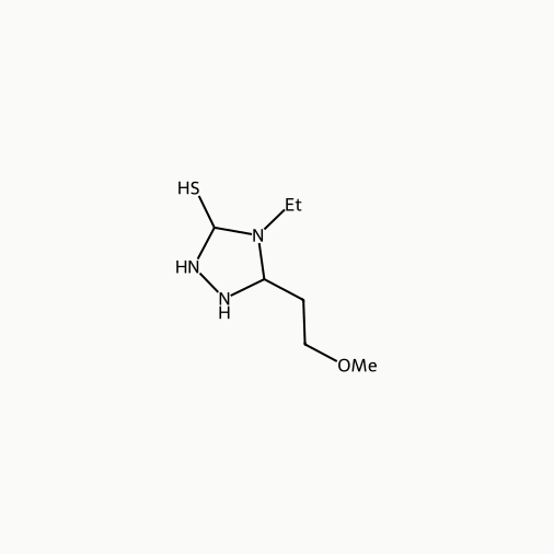 CCN1C(S)NNC1CCOC